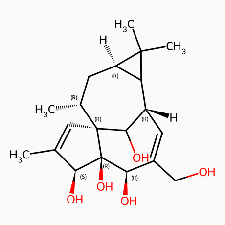 CC1=C[C@]23C(O)[C@@H](C=C(CO)[C@@H](O)[C@]2(O)[C@H]1O)C1[C@@H](C[C@H]3C)C1(C)C